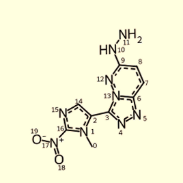 Cn1c(-c2nnc3ccc(NN)nn23)cnc1[N+](=O)[O-]